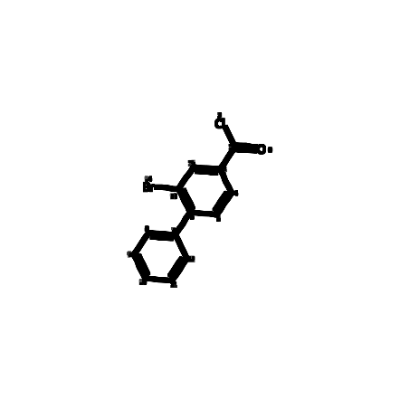 O=C(Cl)c1ccc(-c2ccccc2)c(Br)c1